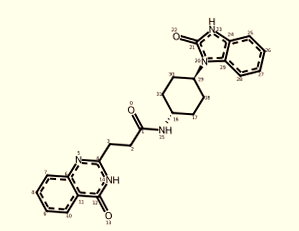 O=C(CCc1nc2ccccc2c(=O)[nH]1)N[C@H]1CC[C@H](n2c(=O)[nH]c3ccccc32)CC1